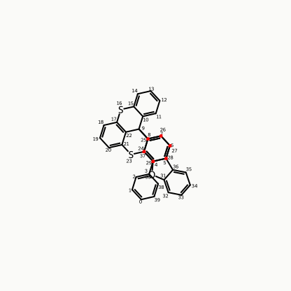 c1ccc(-c2cccc(C34c5ccccc5Sc5cccc(c53)Sc3c4ccc4c3oc3ccccc34)c2)cc1